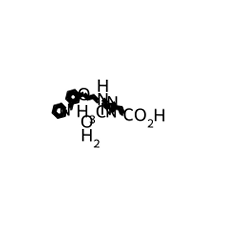 Cn1nc(C=CC(=O)O)nc1NCCCOc1cccc(CN2CCCCC2)c1.O